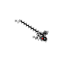 CCCCCCCCCCCCCCCCOCC(CC(C[N+](C)(C)C)(OP(=O)(O)O)c1ccccc1)OC(C)=O